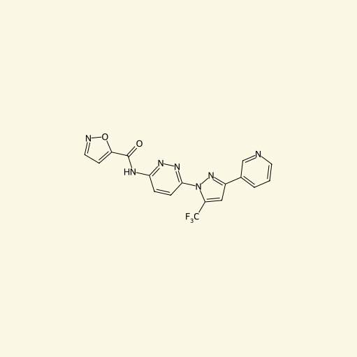 O=C(Nc1ccc(-n2nc(-c3cccnc3)cc2C(F)(F)F)nn1)c1ccno1